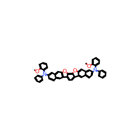 COc1ccccc1N(c1ccccc1)c1ccc2cc3c(cc2c1)oc1c3ccc2c3cc4ccc(N(c5ccccc5)c5ccccc5OC)cc4cc3oc21